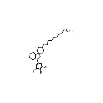 CCCCCCCCCC[C@H]1CC[C@](CCc2cc(F)c(F)c(F)c2)(C2CCCCC2)CC1